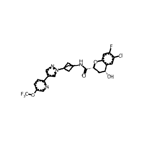 O=C(NC12CC(n3cc(-c4ccc(OC(F)(F)F)cn4)cn3)(C1)C2)[C@H]1C[C@@H](O)c2cc(Cl)c(F)cc2O1